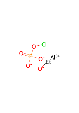 CC[O-].O=P([O-])([O-])OCl.[Al+3]